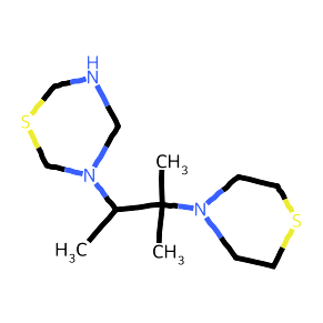 CC(N1CNCSC1)C(C)(C)N1CCSCC1